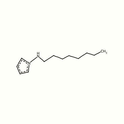 CCCCCCCCNn1cccc1